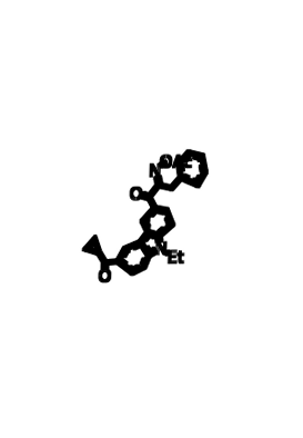 CCn1c2ccc(C(=O)/C(Cc3ccccc3)=N/OC(C)=O)cc2c2cc(C(=O)C3CC3)ccc21